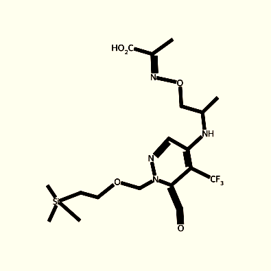 C/C(=N\OCC(C)NC1=C(C(F)(F)F)C(=C=O)N(COCC[Si](C)(C)C)N=C1)C(=O)O